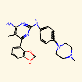 Cc1c(N)nc(Nc2ccc(N3CCN(C)CC3)cc2)nc1-c1cccc2c1OCO2